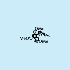 COCOc1cc(OCOC)c(-c2ccc(C=CC(C)=O)o2)c(CC(=O)OC)c1Br